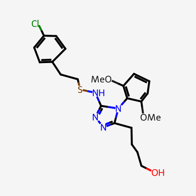 COc1cccc(OC)c1-n1c(CCCCO)nnc1NSCCc1ccc(Cl)cc1